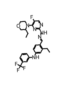 CCc1cc(Nc2cccc(C(F)(F)F)c2)ccc1/C=N/Nc1ncc(F)c(N2CCOCC2CC)n1